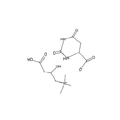 C[N+](C)(C)CC(O)CC(=O)O.O=C1CC(C(=O)[O-])NC(=O)N1